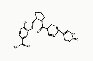 CC(=N)c1ccc(O)c(/C=C/[C@H]2CCCN2C(=O)C2C=CC(c3ccc(=O)[nH]c3)=CC2)c1